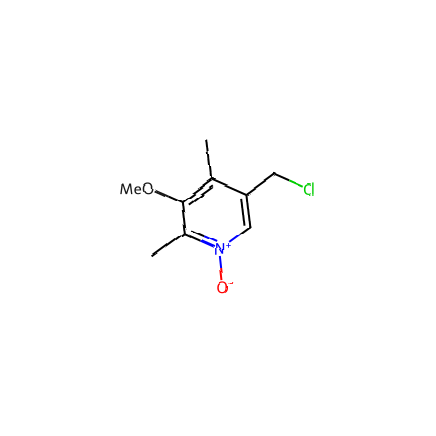 COc1c(C)c(CCl)c[n+]([O-])c1C